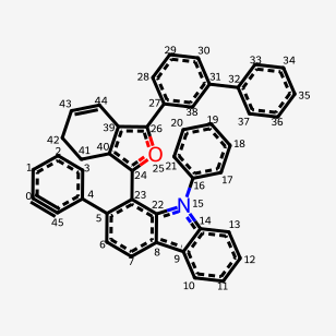 c1cccc(-c2ccc3c4ccccc4n(-c4ccccc4)c3c2-c2oc(-c3cccc(-c4ccccc4)c3)c3c2CCC=C3)c#1